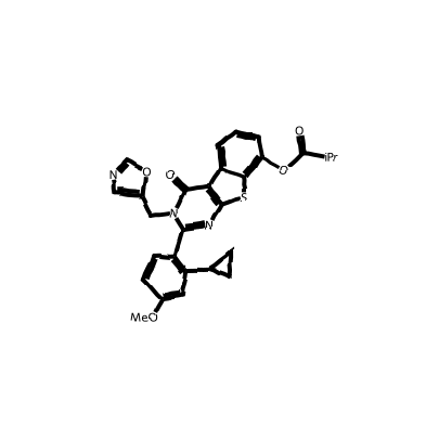 COc1ccc(-c2nc3sc4c(OC(=O)C(C)C)cccc4c3c(=O)n2Cc2cnco2)c(C2CC2)c1